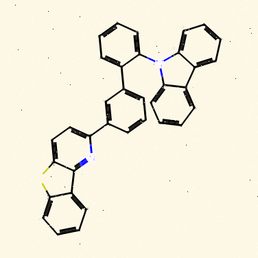 c1cc(-c2ccc3sc4ccccc4c3n2)cc(-c2ccccc2-n2c3ccccc3c3ccccc32)c1